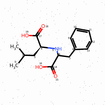 CC(C)C[C@H](NC(Cc1ccccc1)C(=O)O)C(=O)O